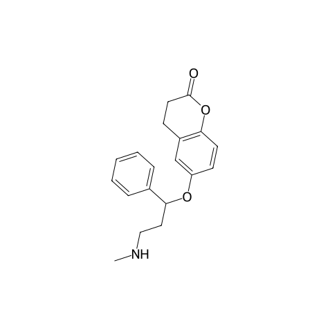 CNCCC(Oc1ccc2c(c1)CCC(=O)O2)c1ccccc1